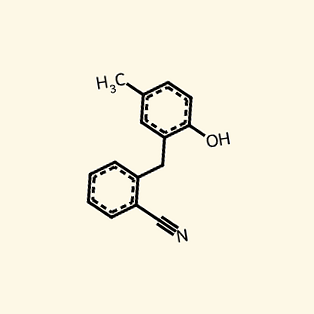 Cc1ccc(O)c(Cc2ccccc2C#N)c1